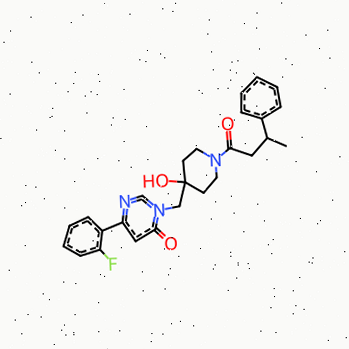 CC(CC(=O)N1CCC(O)(Cn2cnc(-c3ccccc3F)cc2=O)CC1)c1ccccc1